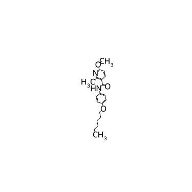 CCCCCCOc1ccc(NC(=O)c2ccc(OC)nc2C)cc1